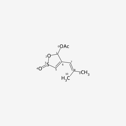 CC(=O)OC1OS(=O)C=C1C=C(C)C